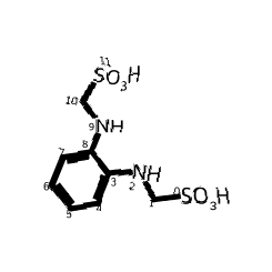 O=S(=O)(O)CNc1ccccc1NCS(=O)(=O)O